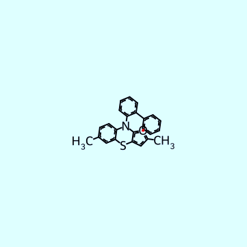 Cc1ccc2c(c1)Sc1cc(C)oc1N2c1ccccc1-c1ccccc1